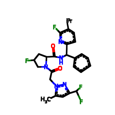 Cc1cc(C(F)F)nn1CC(=O)N1CC(F)CC1C(=O)NC(c1ccccc1)c1ccc(C(C)C)c(F)n1